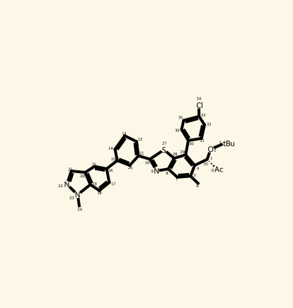 CC(=O)[C@@H](OC(C)(C)C)c1c(C)cc2nc(-c3cccc(-c4ccc5c(cnn5C)c4)c3)sc2c1-c1ccc(Cl)cc1